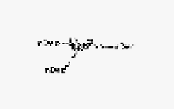 CCCCCCCCCCCCCCCCCCCC(=O)OC[C@@H](COC(=O)CCCCCCCCCCCCCCC)OC(=O)CCCCCCCCCCCCCCCCCCC